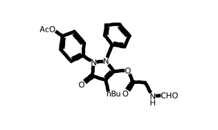 CCCCc1c(OC(=O)CNC=O)n(-c2ccccc2)n(-c2ccc(OC(C)=O)cc2)c1=O